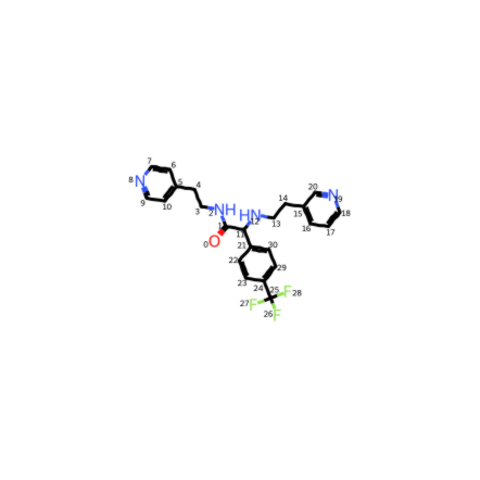 O=C(NCCc1ccncc1)C(NCCc1cccnc1)c1ccc(C(F)(F)F)cc1